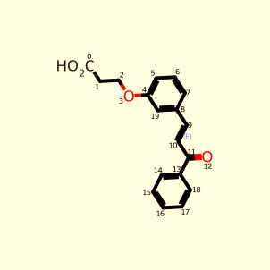 O=C(O)CCOc1cccc(/C=C/C(=O)c2ccccc2)c1